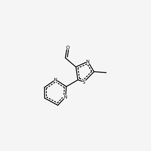 Cc1nc(C=O)c(-c2ncccn2)s1